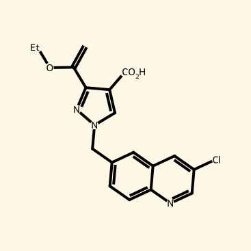 C=C(OCC)c1nn(Cc2ccc3ncc(Cl)cc3c2)cc1C(=O)O